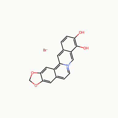 Oc1ccc2cc3c4cc5c(cc4cc[n+]3cc2c1O)OCO5.[Br-]